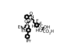 CCN(CC)CCN(Cc1ccc(-c2ccc(C(C)C)cc2)cc1)C(=O)Cn1c(CCc2cccc(F)c2F)nc(=O)c2ccccc21.O=C(O)C(O)C(O)C(=O)O